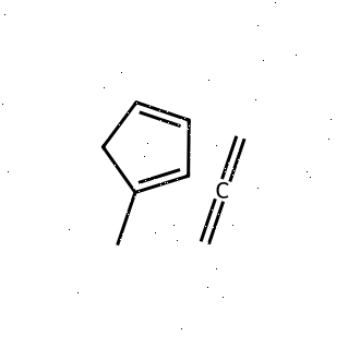 C=C=C.CC1=CC=CC1